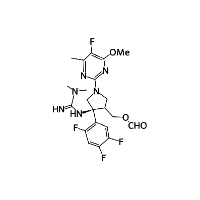 COc1nc(N2CC(COC=O)[C@](NC(=N)N(C)C)(c3cc(F)c(F)cc3F)C2)nc(C)c1F